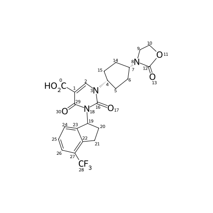 O=C(O)c1cn([C@H]2CC[C@@H](N3CCOC3=O)CC2)c(=O)n(C2CCc3c2cccc3C(F)(F)F)c1=O